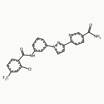 NC(=O)c1ccc(-c2ccn(-c3cccc(NC(=O)c4ccc(C(F)(F)F)cc4Cl)c3)n2)nc1